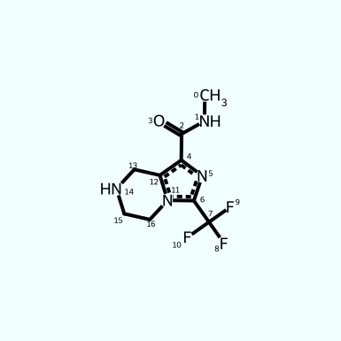 CNC(=O)c1nc(C(F)(F)F)n2c1CNCC2